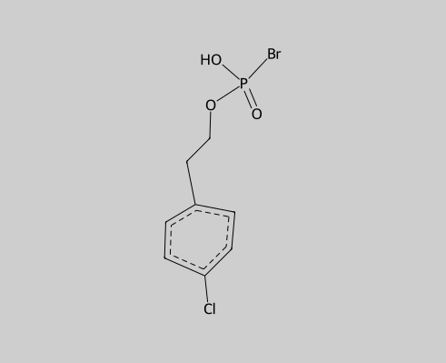 O=P(O)(Br)OCCc1ccc(Cl)cc1